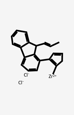 CC=CC1c2ccccc2-c2cccc(C3=[C]([Zr+2])CC=C3)c21.[Cl-].[Cl-]